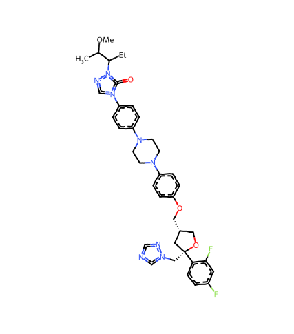 CCC(C(C)OC)n1ncn(-c2ccc(N3CCN(c4ccc(OC[C@@H]5CO[C@@](Cn6cncn6)(c6ccc(F)cc6F)C5)cc4)CC3)cc2)c1=O